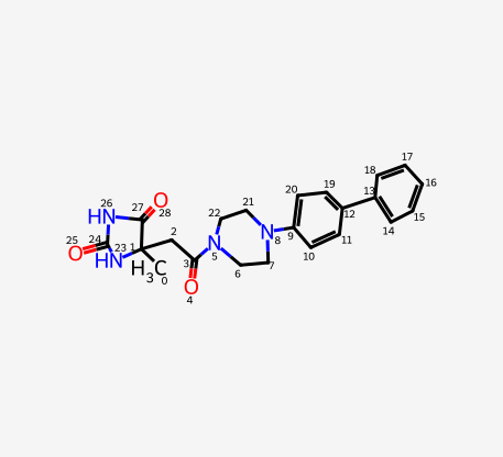 CC1(CC(=O)N2CCN(c3ccc(-c4ccccc4)cc3)CC2)NC(=O)NC1=O